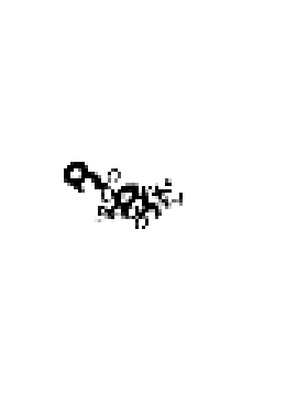 CC1=C(C(=O)O)C(c2ccc(OC(=O)C=Cc3ccccc3C)c(Br)c2)NC(=S)N1